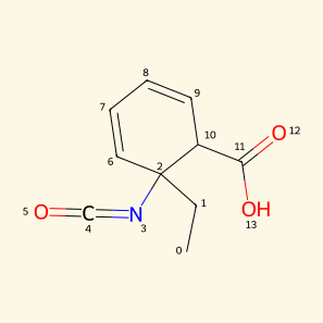 CCC1(N=C=O)C=CC=CC1C(=O)O